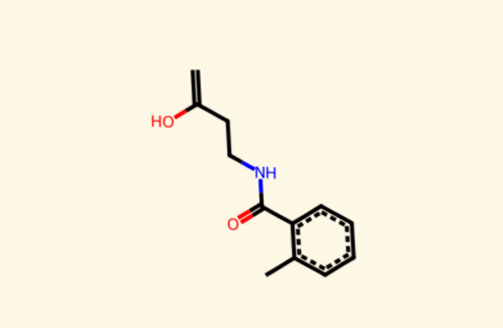 C=C(O)CCNC(=O)c1ccccc1C